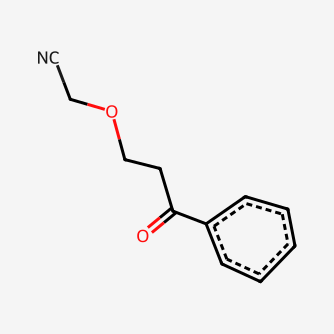 N#CCOCCC(=O)c1ccccc1